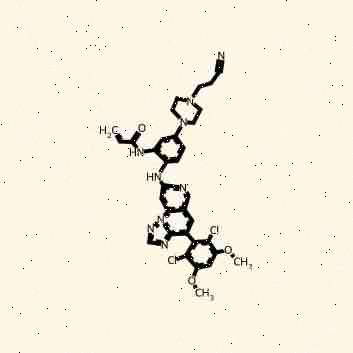 C=CC(=O)Nc1cc(N2CCN(CCC#N)CC2)ccc1Nc1cc2c(cn1)cc(-c1c(Cl)c(OC)cc(OC)c1Cl)c1ncnn12